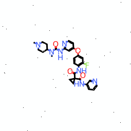 CN1CCC(N(C)C(=O)Nc2cc(Oc3ccc(NC(=O)C4(C(=O)Nc5cccnc5)CC4)c(F)c3)ccn2)CC1